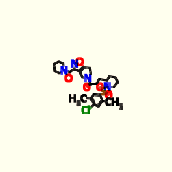 Cc1cc(S(=O)(=O)N2CCCCC2CCC(=O)N2CCc3onc(C(=O)N4CCCCC4)c3C2)c(C)cc1Cl